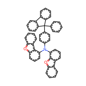 c1ccc(C2(c3ccc(N(c4cccc5c4oc4ccccc45)c4cccc5oc6ccccc6c45)cc3)c3ccccc3-c3ccccc32)cc1